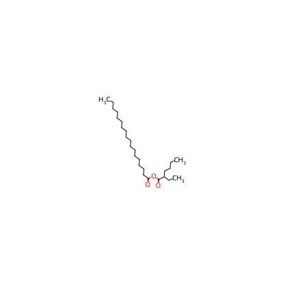 CCCCCCCCCCCCCCCCCC(=O)OC(=O)C(CC)CCCC